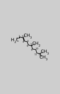 C=CC(C)=CCCC(=C)CCCC(C)C